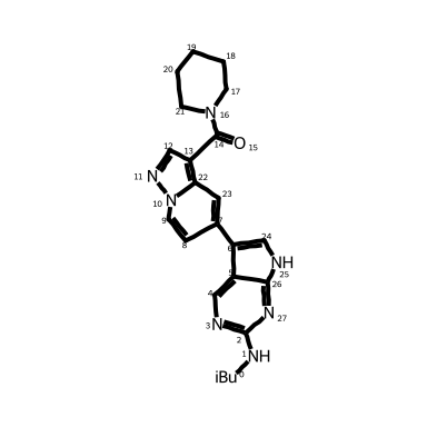 CCC(C)Nc1ncc2c(-c3ccn4ncc(C(=O)N5CCCCC5)c4c3)c[nH]c2n1